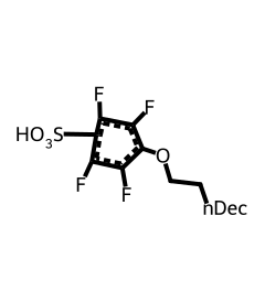 CCCCCCCCCCCCOc1c(F)c(F)c(S(=O)(=O)O)c(F)c1F